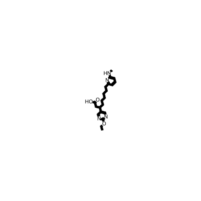 CCOc1ncc(C(CCCCCCc2cccc(NC)n2)CC(=O)O)cn1